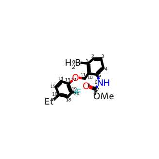 Bc1cccc(NC(=O)OC)c1COc1ccc(CC)cc1F